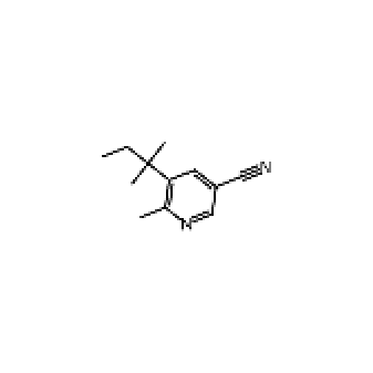 CCC(C)(C)c1cc(C#N)cnc1C